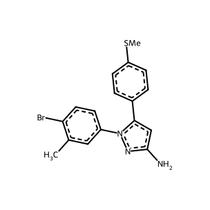 CSc1ccc(-c2cc(N)nn2-c2ccc(Br)c(C)c2)cc1